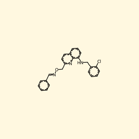 Clc1ccccc1CNc1cccc2ccc(CON=Cc3ccccc3)nc12